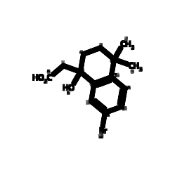 CC1(C)CCC(O)(CC(=O)O)c2cc(Br)ccc21